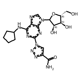 NC(=O)c1cn(-c2nc(NC3CCCC3)c3ncn(C4O[C@H](CO)[C@@H](O)[C@H]4O)c3n2)nn1